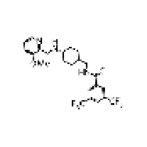 COc1cccnc1CN[C@H]1CC[C@H](CNC(=O)c2cc(C(F)(F)F)cc(C(F)(F)F)c2)CC1